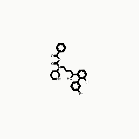 CCc1cccc(-c2c(Cl)cccc2C(O)CCCN(C(=O)OC(=O)c2ccccc2)C2CCCNC2)c1